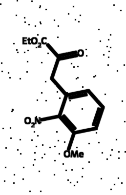 CCOC(=O)C(=O)Cc1cccc(OC)c1[N+](=O)[O-]